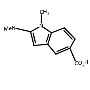 CNc1cc2cc(C(=O)O)ccc2n1C